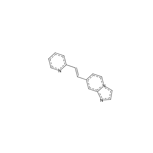 C(=C\c1ccccn1)/c1ccn2ccnc2c1